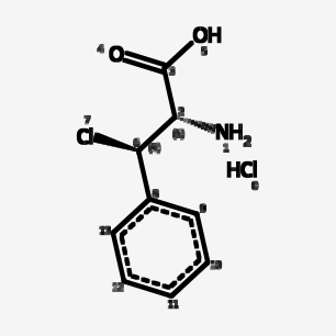 Cl.N[C@@H](C(=O)O)[C@H](Cl)c1ccccc1